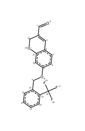 O=CC1=Cc2ccc(OCc3ccccc3C(F)(F)F)cc2OC1